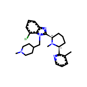 Cc1cccnc1[C@@H]1CCC[C@H](c2nc3cccc(Br)c3n2CC2CCN(C)CC2)N1C